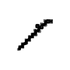 CCCCCCCCCCCCCC(=O)OCCCO